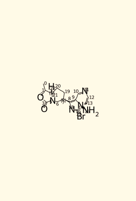 CC1OC(=O)N2C[C@H](C3=C4C=NC=C[N+]4(N)C(Br)=N3)CC[C@@H]12